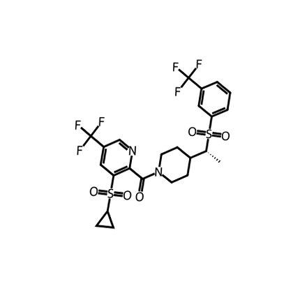 C[C@H](C1CCN(C(=O)c2ncc(C(F)(F)F)cc2S(=O)(=O)C2CC2)CC1)S(=O)(=O)c1cccc(C(F)(F)F)c1